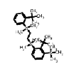 CC(C)(C)c1ccccc1S(C)(C)CCS(C)(C)c1cccc(S(C)(C)C)c1C(C)(C)C